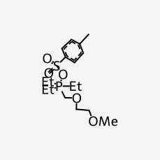 CCP(CC)(CC)(COCCOC)OS(=O)(=O)c1ccc(C)cc1